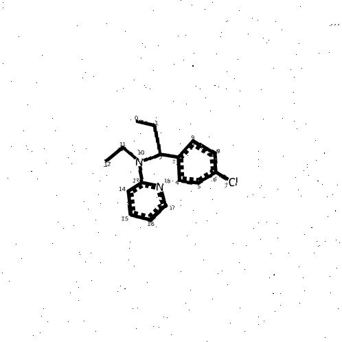 CCC(c1ccc(Cl)cc1)N(CC)c1ccccn1